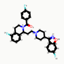 O=C(c1ccc(F)cc1)N1CCc2c(F)cccc2C1CCN1CCC(c2noc3cc(F)ccc23)CC1